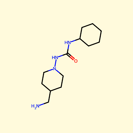 NCC1CCN(NC(=O)NC2CCCCC2)CC1